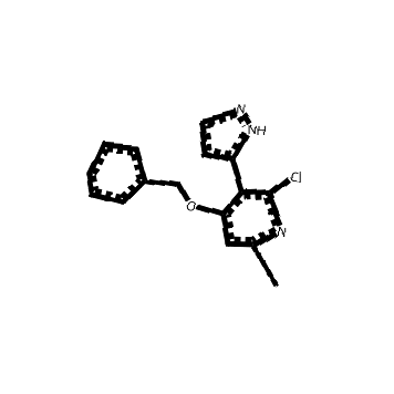 Cc1cc(OCc2ccccc2)c(-c2ccn[nH]2)c(Cl)n1